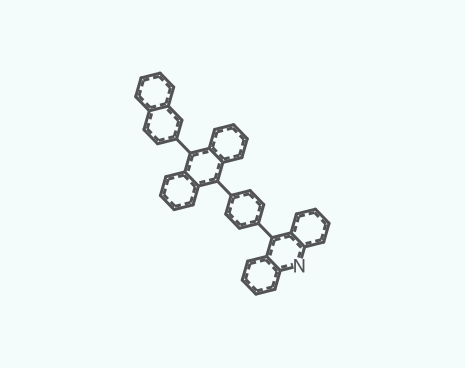 c1ccc2cc(-c3c4ccccc4c(-c4ccc(-c5c6ccccc6nc6ccccc56)cc4)c4ccccc34)ccc2c1